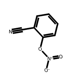 N#Cc1ccccc1O[N+](=O)[O-]